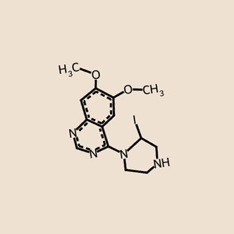 COc1cc2ncnc(N3CCNCC3I)c2cc1OC